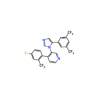 Fc1ccc(-c2ccncc2-n2cncc2-c2cc(C(F)(F)F)cc(C(F)(F)F)c2)c(C(F)(F)F)c1